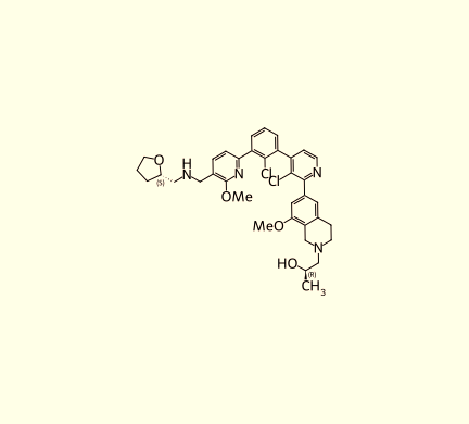 COc1cc(-c2nccc(-c3cccc(-c4ccc(CNC[C@@H]5CCCO5)c(OC)n4)c3Cl)c2Cl)cc2c1CN(C[C@@H](C)O)CC2